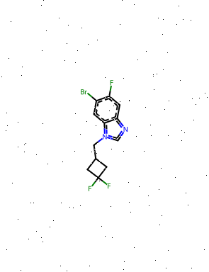 Fc1cc2ncn(CC3CC(F)(F)C3)c2cc1Br